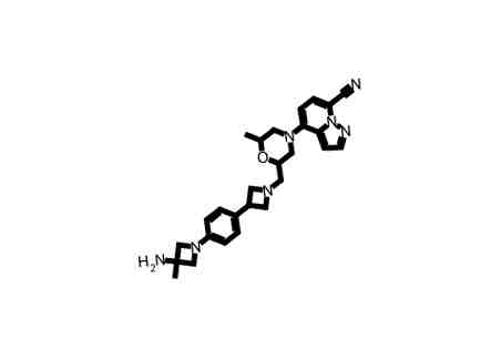 CC1CN(c2ccc(C#N)n3nccc23)CC(CN2CC(c3ccc(N4CC(C)(N)C4)cc3)C2)O1